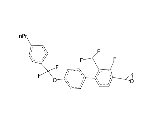 CCCc1ccc(C(F)(F)Oc2ccc(-c3ccc(C4CO4)c(F)c3C(F)F)cc2)cc1